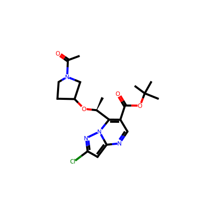 CC(=O)N1CCC(O[C@@H](C)c2c(C(=O)OC(C)(C)C)cnc3cc(Cl)nn23)C1